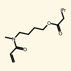 C=CC(=O)N(C)CCCCOC(=O)CC(C)C